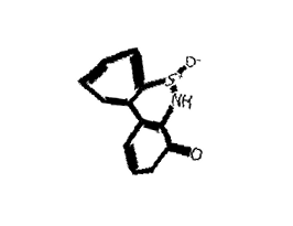 O=C1CC=CC2=C1N[S+]([O-])c1ccccc12